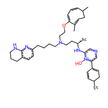 CCC1C=CC(c2cncc(N[C@@H](CCN(CCCCc3ccc4c(n3)NCCC4)CCOC3=C/C=C\C(C)C\C=C\3C)C(C)=O)[n+]2O)=CC1